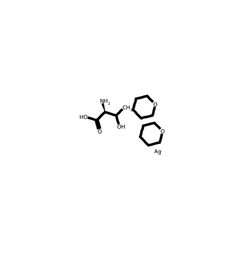 C1CCOCC1.C1CCOCC1.CC(O)[C@H](N)C(=O)O.[Ag]